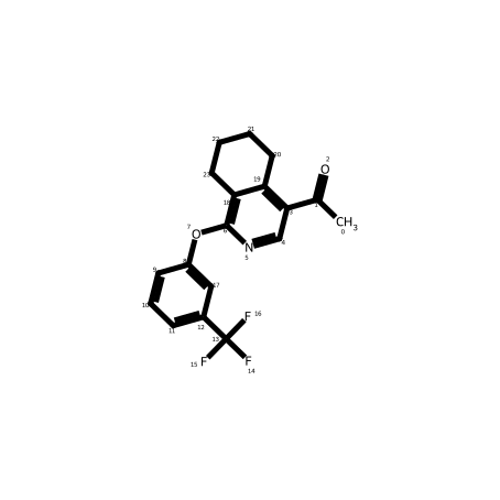 CC(=O)c1cnc(Oc2cccc(C(F)(F)F)c2)c2c1CCCC2